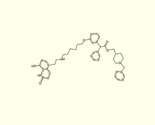 O=C(OCC1CCN(Cc2ccccc2)CC1)C(c1ccccc1)c1cccc(OCCCCCCNCCc2ccc(O)c3[nH]c(=O)ccc23)c1